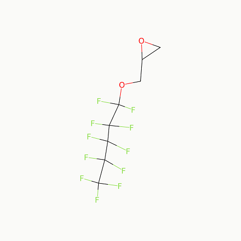 FC(F)(F)C(F)(F)C(F)(F)C(F)(F)C(F)(F)OCC1CO1